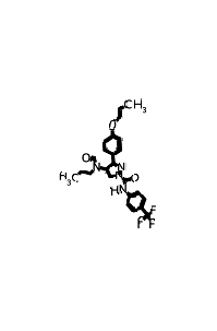 CCCOc1ccc(C2=NN(C(=O)Nc3ccc(C(F)(F)F)cc3)CC2N(C=O)CCC)cc1